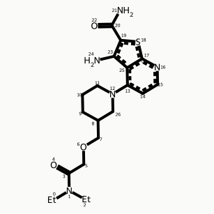 CCN(CC)C(=O)COCC1CCCN(c2ccnc3sc(C(N)=O)c(N)c23)C1